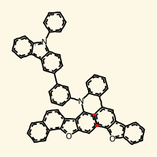 c1ccc(-n2c3ccccc3c3cc(-c4cccc(N(c5ccccc5-c5ccc6oc7ccccc7c6c5)c5cccc6oc7c8ccccc8ccc7c56)c4)ccc32)cc1